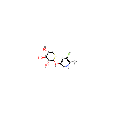 N#Cc1ncc(O[C@@H]2SC[C@@H](O)[C@H](O)[C@H]2O)cc1F